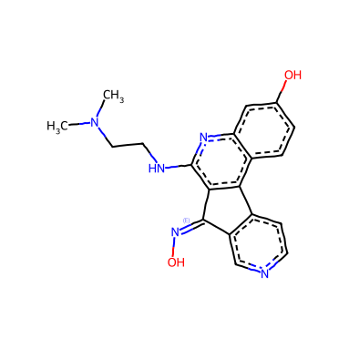 CN(C)CCNc1nc2cc(O)ccc2c2c1/C(=N/O)c1cnccc1-2